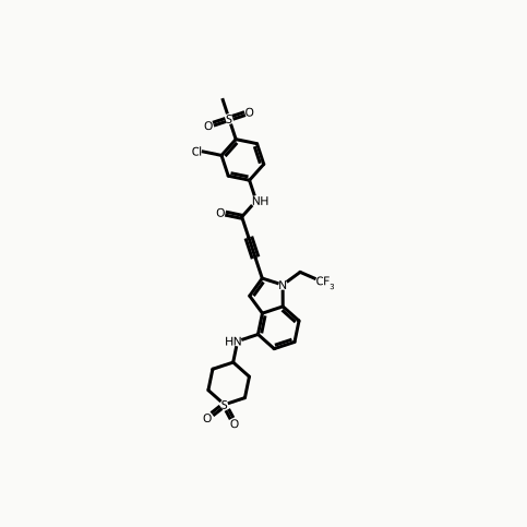 CS(=O)(=O)c1ccc(NC(=O)C#Cc2cc3c(NC4CCS(=O)(=O)CC4)cccc3n2CC(F)(F)F)cc1Cl